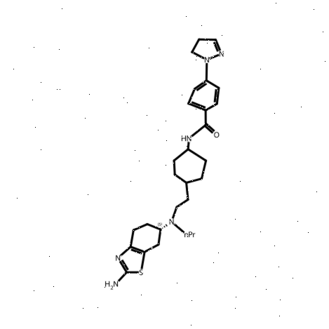 CCCN(CCC1CCC(NC(=O)c2ccc(N3CCC=N3)cc2)CC1)[C@H]1CCc2nc(N)sc2C1